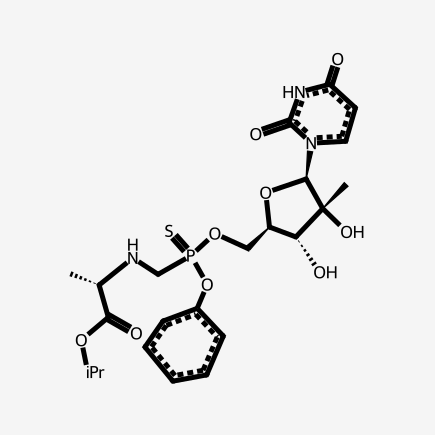 CC(C)OC(=O)[C@H](C)NCP(=S)(OC[C@H]1O[C@@H](n2ccc(=O)[nH]c2=O)[C@](C)(O)[C@@H]1O)Oc1ccccc1